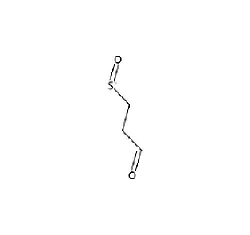 O=CCC[S+]=O